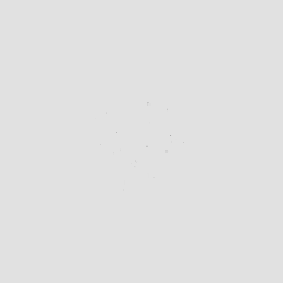 CC(C)OC(C)C.FC(OC(F)(F)F)C(F)(F)Br